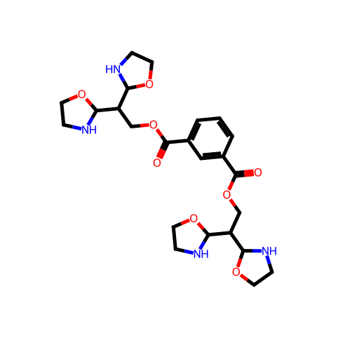 O=C(OCC(C1NCCO1)C1NCCO1)c1cccc(C(=O)OCC(C2NCCO2)C2NCCO2)c1